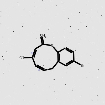 C=C1/C=C(Cl)\C=C/Cc2cc(Br)ccc2S1